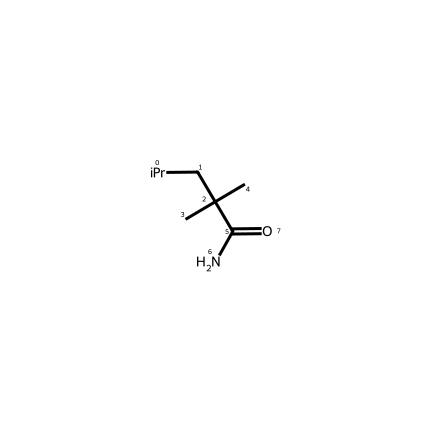 CC(C)CC(C)(C)C(N)=O